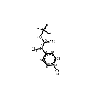 CC(C)(C)OC(=O)N(Cl)c1ccc(O)cc1